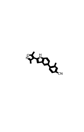 Cc1cc(C#N)ccc1-c1ccc2[nH]c(-c3c(C)noc3C)cc2c1